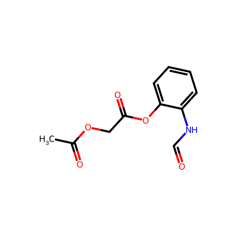 CC(=O)OCC(=O)Oc1ccccc1NC=O